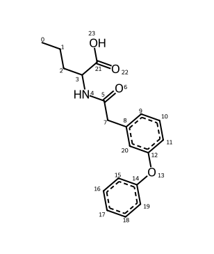 CCCC(NC(=O)Cc1cccc(Oc2ccccc2)c1)C(=O)O